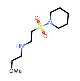 COCCNCCS(=O)(=O)N1CC[CH]CC1